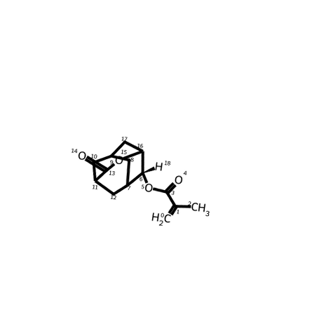 C=C(C)C(=O)O[C@@H]1C2CC3CC(C2)C(=O)OC1C3